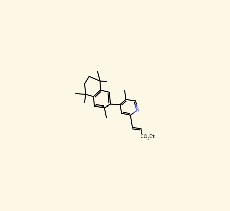 CCOC(=O)/C=C/c1cc(-c2cc3c(cc2C)C(C)(C)CCC3(C)C)c(C)cn1